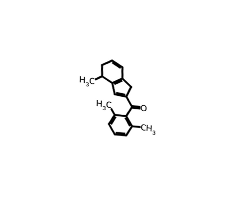 Cc1cccc(C)c1C(=O)C1=CC2=C(C=CCC2C)C1